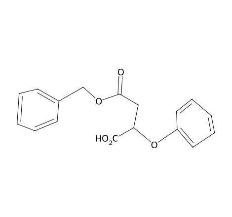 O=C(CC(Oc1ccccc1)C(=O)O)OCc1ccccc1